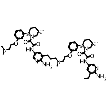 CCc1cc(NC(=O)C(=O)N2C[C@@H](C)CC[C@@H]2c2cccc(OCCN(C)CCCc3cc(NC(=O)C(=O)N4C[C@@H](C)CC[C@@H]4c4cccc(OCCN(C)C)c4)cnc3N)c2)cnc1N